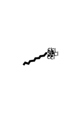 CCCCCCCCCC[Si](Cl)(Cl)[Si](Cl)(Cl)Cl